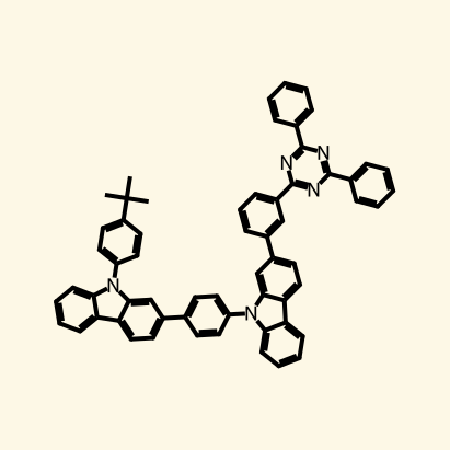 CC(C)(C)c1ccc(-n2c3ccccc3c3ccc(-c4ccc(-n5c6ccccc6c6ccc(-c7cccc(-c8nc(-c9ccccc9)nc(-c9ccccc9)n8)c7)cc65)cc4)cc32)cc1